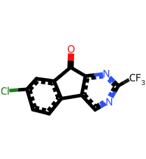 O=C1c2cc(Cl)ccc2-c2cnc(C(F)(F)F)nc21